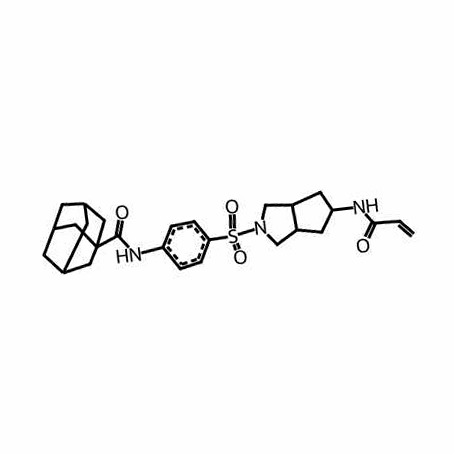 C=CC(=O)NC1CC2CN(S(=O)(=O)c3ccc(NC(=O)C45CC6CC(CC(C6)C4)C5)cc3)CC2C1